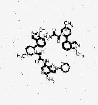 C[C@H]1CCC(c2cccc3c2cnn3C)N(C(=O)C(=O)Nc2cnc(N)c3cn(C4CCCCO4)nc23)C1.C[C@H]1CCC(c2cccc3c2cnn3C)N(C(=O)C(N)=O)C1